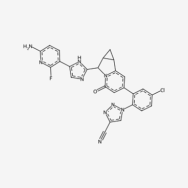 N#Cc1cn(-c2ccc(Cl)cc2-c2cc3n(c(=O)c2)C(c2ncc(-c4ccc(N)nc4F)[nH]2)C2CC32)nn1